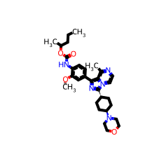 CCCC(C)OC(=O)Nc1ccc(-c2nc([C@H]3CC[C@H](N4CCOCC4)CC3)n3ccnc(C)c23)cc1OC